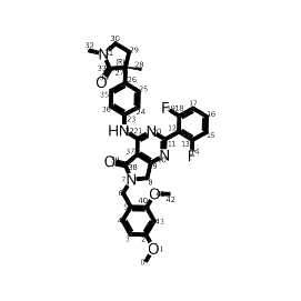 COc1ccc(CN2Cc3nc(-c4c(F)cccc4F)nc(Nc4ccc([C@@]5(C)CCN(C)C5=O)cc4)c3C2=O)c(OC)c1